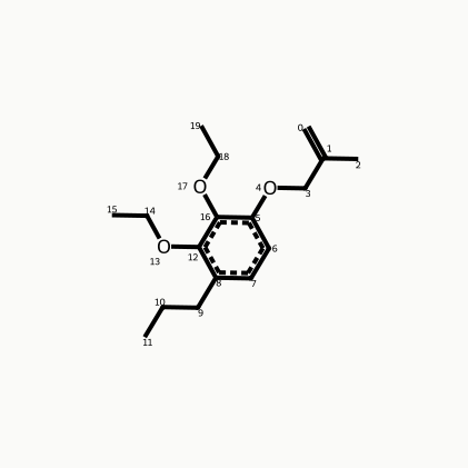 C=C(C)COc1ccc(CCC)c(OCC)c1OCC